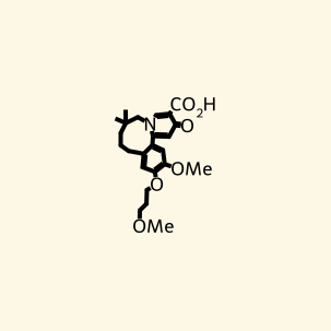 COCCCOc1cc2c(cc1OC)-c1cc(=O)c(C(=O)O)cn1CC(C)(C)CCC2